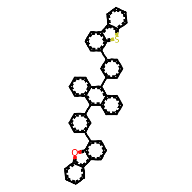 c1cc(-c2c3ccccc3c(-c3cccc(-c4cccc5c4sc4ccccc45)c3)c3ccccc23)cc(-c2cccc3c2oc2ccccc23)c1